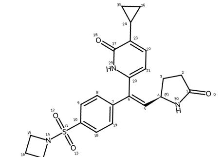 O=C1CC[C@H](C=C(c2ccc(S(=O)(=O)N3CCC3)cc2)c2ccc(C3CC3)c(=O)[nH]2)N1